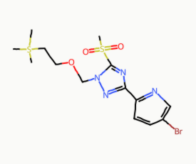 CS(C)(C)CCOCn1nc(-c2ccc(Br)cn2)nc1S(C)(=O)=O